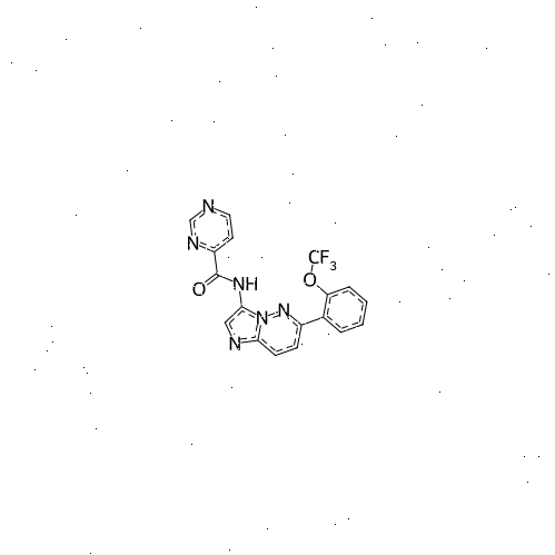 O=C(Nc1cnc2ccc(-c3ccccc3OC(F)(F)F)nn12)c1ccncn1